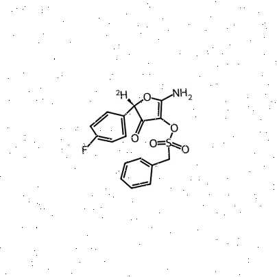 [2H][C@@]1(c2ccc(F)cc2)OC(N)=C(OS(=O)(=O)Cc2ccccc2)C1=O